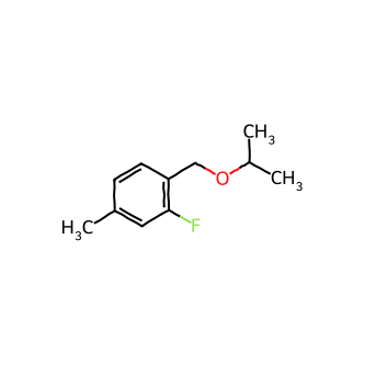 Cc1ccc(COC(C)C)c(F)c1